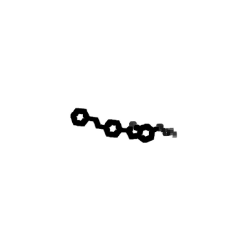 COc1ccc2cc(-c3ccc(C=Cc4ccccc4)cc3)oc2c1